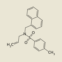 C=CCN(Cc1cccc2ccccc12)S(=O)(=O)c1ccc(C)cc1